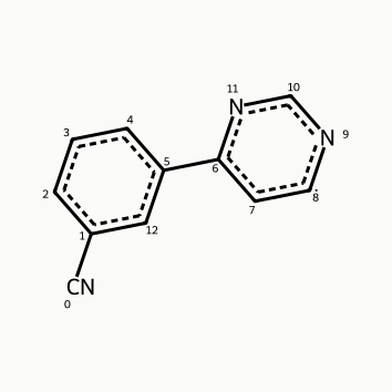 N#Cc1cccc(-c2c[c]ncn2)c1